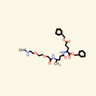 CC(CCC(=O)NC(CCC(=O)OCc1ccccc1)C(=O)OCc1ccccc1)NC(=O)COCCOCCNC=O